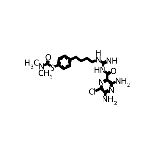 CN(C)C(=O)Sc1ccc(CCCCNC(=N)NC(=O)c2nc(Cl)c(N)nc2N)cc1